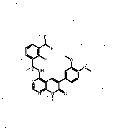 COc1ccc(-c2cc3c(N[C@H](C)c4cccc(C(F)F)c4F)ncnc3n(C)c2=O)cc1OC